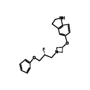 F[C@@H](COc1ccccc1)CN1CC(Oc2ccc3c(c2)CCN3)C1